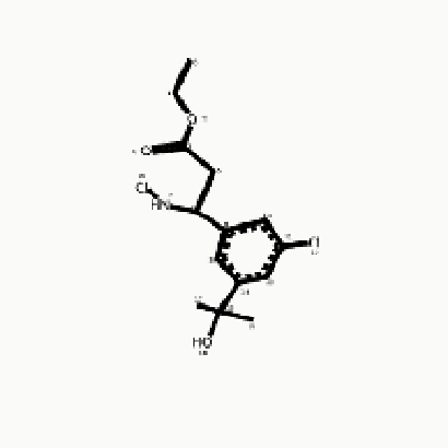 CCOC(=O)CC(NCl)c1cc(Cl)cc(C(C)(C)O)c1